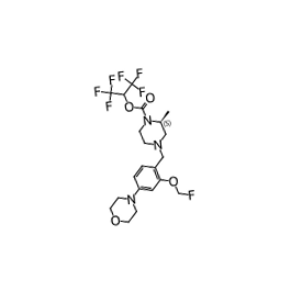 C[C@H]1CN(Cc2ccc(N3CCOCC3)cc2OCF)CCN1C(=O)OC(C(F)(F)F)C(F)(F)F